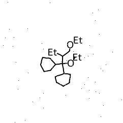 CCOCC(CC)C(OCC)(C1CCCCC1)C1CCCCC1